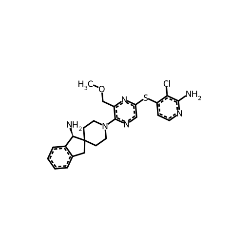 COCc1nc(Sc2ccnc(N)c2Cl)cnc1N1CCC2(CC1)Cc1ccccc1[C@H]2N